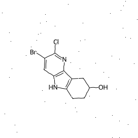 OC1CCc2[nH]c3cc(Br)c(Cl)nc3c2C1